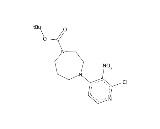 CC(C)(C)OC(=O)N1CCCN(c2ccnc(Cl)c2[N+](=O)[O-])CC1